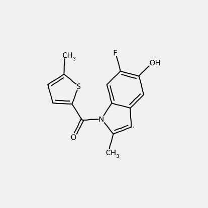 Cc1ccc(C(=O)n2c(C)[c]c3cc(O)c(F)cc32)s1